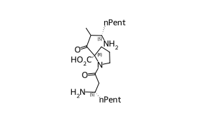 CCCCC[C@H](N)CC(=O)N1CCC[C@]1(C(=O)O)C(=O)C(C)[C@@H](N)CCCCC